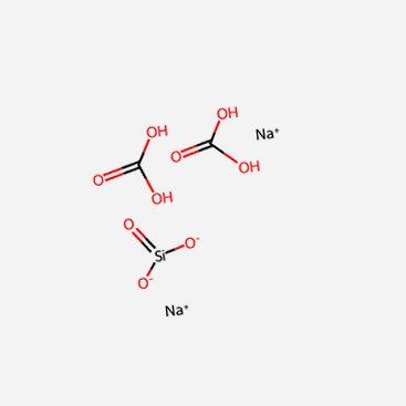 O=C(O)O.O=C(O)O.O=[Si]([O-])[O-].[Na+].[Na+]